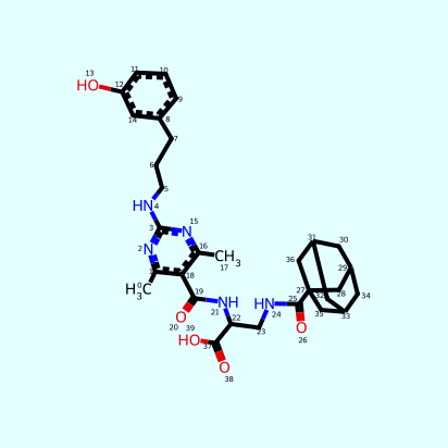 Cc1nc(NCCCc2cccc(O)c2)nc(C)c1C(=O)NC(CNC(=O)C12CC3CC(CC(C3)C1)C2)C(=O)O